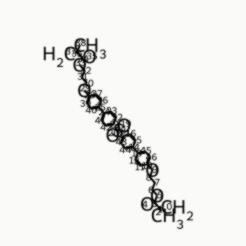 C=C(C)C(=O)OCCCOc1ccc(-c2ccc(S(=O)(=O)c3ccc(-c4ccc(OCCCOC(=O)C(=C)C)cc4)cc3)cc2)cc1